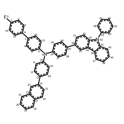 Fc1ccc(-c2ccc(N(c3ccc(-c4ccc5ccccc5c4)cc3)c3ccc(-c4ccc5c(c4)c4ccccc4n5-c4ccccc4)cc3)cc2)cc1